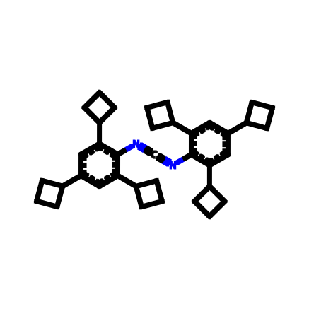 C(=Nc1c(C2CCC2)cc(C2CCC2)cc1C1CCC1)=Nc1c(C2CCC2)cc(C2CCC2)cc1C1CCC1